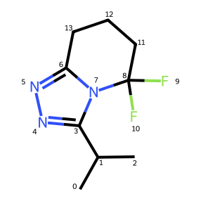 CC(C)c1nnc2n1C(F)(F)CCC2